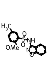 COc1ccc(C)cc1S(=O)(=O)Nc1noc2ccccc12